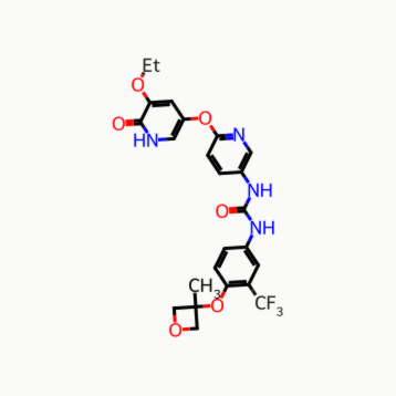 CCOc1cc(Oc2ccc(NC(=O)Nc3ccc(OC4(C)COC4)c(C(F)(F)F)c3)cn2)c[nH]c1=O